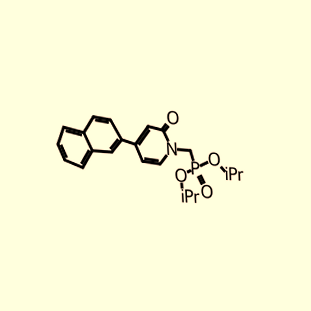 CC(C)OP(=O)(Cn1ccc(-c2ccc3ccccc3c2)cc1=O)OC(C)C